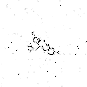 Clc1ccc(CSC(Cn2ccnc2)c2ccc(Cl)cc2Cl)c(Cl)c1